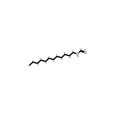 [CH2]CCCCCCCCCCCO[C]=O